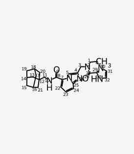 CCN(Cc1cn2c(C(=O)NCC34CC5CC(CC(C5)C3)C4)cccc2n1)C(=O)c1ncc[nH]1